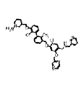 Cc1c(COc2cc(OCc3cnccn3)c(CNCc3cccnn3)cc2Cl)cccc1-c1cccc(OCC2CCCN(C)C2)c1Cl